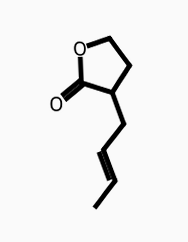 CC=CCC1CCOC1=O